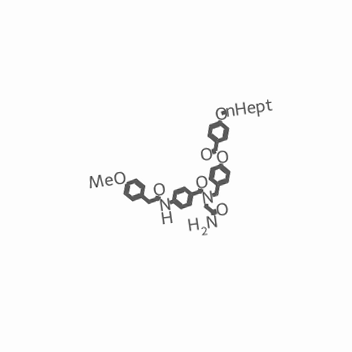 CCCCCCCOc1ccc(C(=O)Oc2ccc(CN(CC(N)=O)C(=O)c3ccc(NC(=O)Cc4ccc(OC)cc4)cc3)cc2)cc1